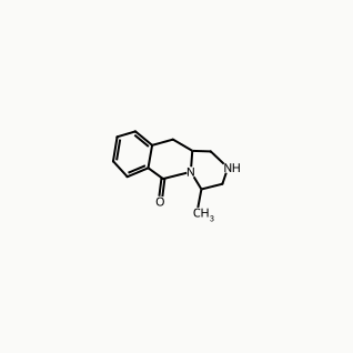 CC1CNCC2Cc3ccccc3C(=O)N12